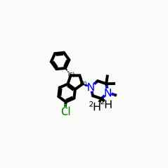 [2H]C1([2H])CN([C@@H]2C[C@@H](c3ccccc3)c3ccc(Cl)cc32)CC(C)(C)N1C